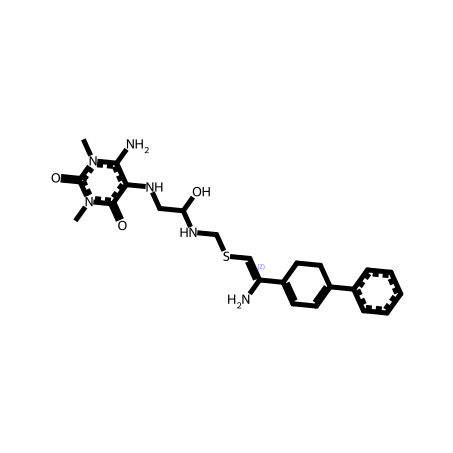 Cn1c(N)c(NCC(O)NCS/C=C(\N)C2=CC=C(c3ccccc3)CC2)c(=O)n(C)c1=O